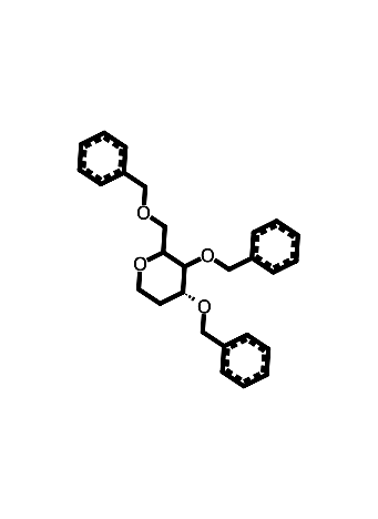 c1ccc(COCC2OCC[C@@H](OCc3ccccc3)C2OCc2ccccc2)cc1